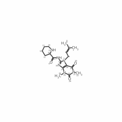 CC(C)=CCn1c(NC(=O)C2CCCCN2)nc2c1c(=O)n(C)c(=O)n2C